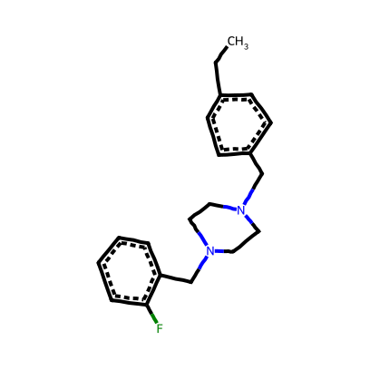 CCc1ccc(CN2CCN(Cc3ccccc3F)CC2)cc1